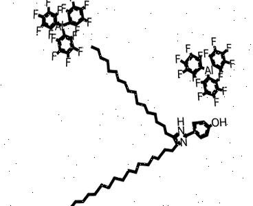 CCCCCCCCCCCCCCCCCc1nc(-c2ccc(O)cc2)[nH]c1CCCCCCCCCCCCCCCCC.Fc1c(F)c(F)[c]([Al]([c]2c(F)c(F)c(F)c(F)c2F)[c]2c(F)c(F)c(F)c(F)c2F)c(F)c1F.Fc1c(F)c(F)[c]([Al]([c]2c(F)c(F)c(F)c(F)c2F)[c]2c(F)c(F)c(F)c(F)c2F)c(F)c1F